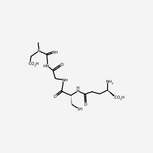 CN(CC(=O)O)C(=N)NC(=O)CNC(=O)[C@@H](CS)NC(=O)CC[C@@H](N)C(=O)O